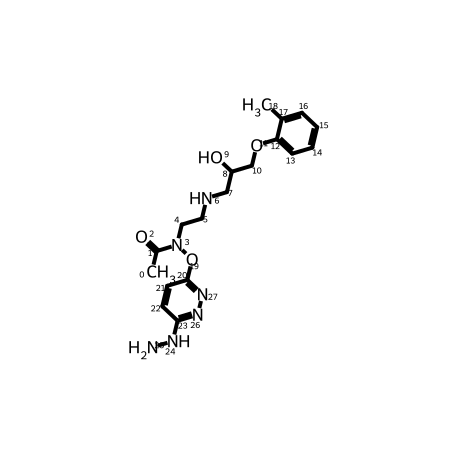 CC(=O)N(CCNCC(O)COc1ccccc1C)Oc1ccc(NN)nn1